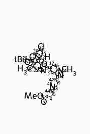 COC(=O)C1CC[C@H](N2CCC(c3nn(C)c4ccc(-c5nc6cc(C)c([C@H](OC(C)(C)C)C(=O)O)c(-c7ccc(Cl)cc7)c6o5)cc34)CC2)C1